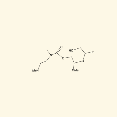 CCC(CO)OC(COC(=O)N(C)CCNC)OC